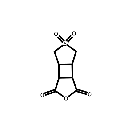 O=C1OC(=O)C2C3CS(=O)(=O)CC3C12